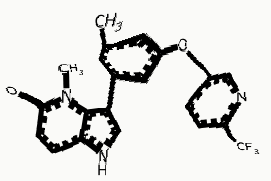 Cc1cc(Oc2ccc(C(F)(F)F)nc2)cc(-c2c[nH]c3ccc(=O)n(C)c23)c1